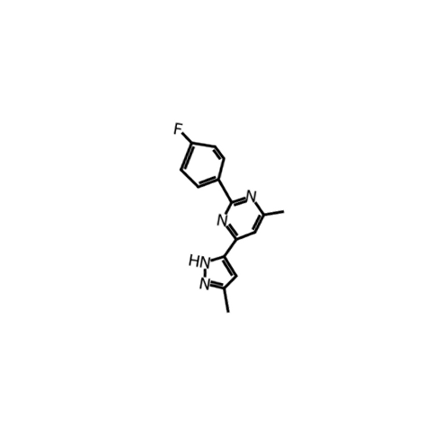 Cc1cc(-c2cc(C)nc(-c3ccc(F)cc3)n2)[nH]n1